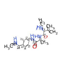 C=C(C)[C@H](NC)C(=O)N[C@@H](C)C(=O)Nc1ccc(CNC)cc1